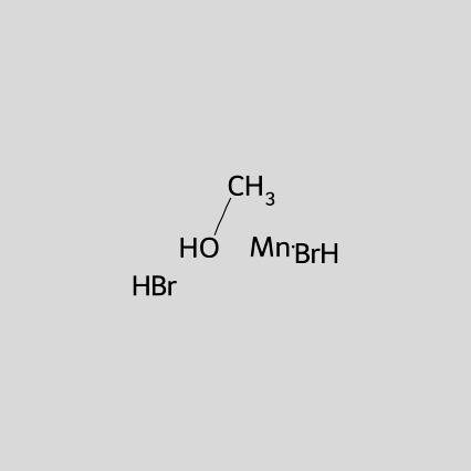 Br.Br.CO.[Mn]